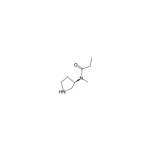 CCC(=O)N(C)[C@@H]1CCNC1